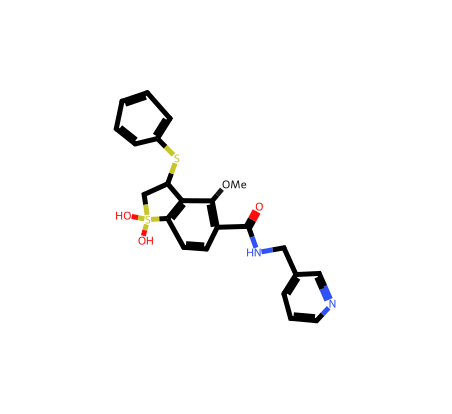 COc1c(C(=O)NCc2cccnc2)ccc2c1C(Sc1ccccc1)CS2(O)O